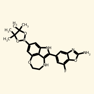 CC1(C)OB(c2cc3c4c(c(-c5cc(F)c6oc(N)nc6c5)[nH]c4c2)NCCO3)OC1(C)C